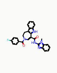 Cn1c(NC(=O)C2=CN(C(=O)c3ccc(F)cc3)CCc3c2[nH]c2ccccc32)nc2ccccc21